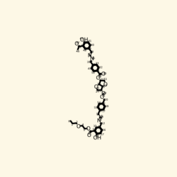 CCCOCCOC(=O)c1cc(/C=N/N=C/c2ccc(COO[C@@H]3COC4C(OC(=O)c5ccc(/C=N/N=C/c6ccc(O)c(C(C)=O)c6)cc5)COC43)cc2)ccc1O